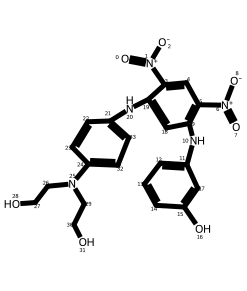 O=[N+]([O-])c1cc([N+](=O)[O-])c(Nc2cccc(O)c2)cc1Nc1ccc(N(CCO)CCO)cc1